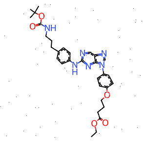 CCOC(=O)CCCOc1ccc(-n2cnc3cnc(Nc4ccc(CCCNC(=O)OC(C)(C)C)cc4)nc32)cc1